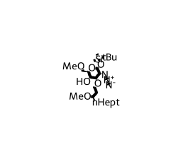 CCCCCCC[C@H](CCO[C@H]1[C@H](O)[C@@H](COC)O[C@@H](O[Si](C)(C)C(C)(C)C)[C@@H]1N=[N+]=[N-])OC